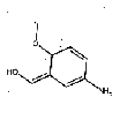 COC1C=CC(N)=CC1=CO